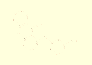 O=c1c2ccccc2oc2cccc(Nc3cccc([N+](=O)[O-])c3)c12